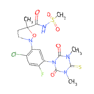 Cn1c(=S)n(C)c(=O)n(-c2cc(N3CCC(C)(C(=O)NS(C)(=O)=O)O3)c(Cl)cc2F)c1=O